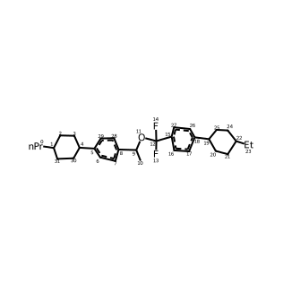 CCCC1CCC(c2ccc(C(C)OC(F)(F)c3ccc(C4CCC(CC)CC4)cc3)cc2)CC1